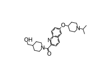 CC(C)N1CCC(Oc2ccc3nc(C(=O)N4CCC(CO)CC4)ccc3c2)CC1